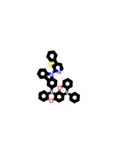 c1ccc(B2c3ccccc3Oc3c2ccc2c3B(c3ccc4c(c3)c3ccccc3n4-c3nccc4c3sc3ccccc34)c3ccccc3O2)cc1